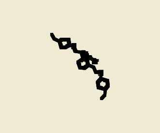 CCc1ccc(N=CCc2cccc(CC=Nc3ccc(CC)cc3)n2)cc1.[Br][Co][Br]